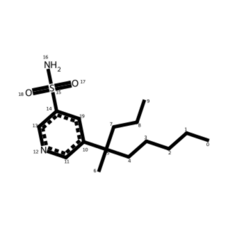 CCCCCC(C)(CCC)c1cncc(S(N)(=O)=O)c1